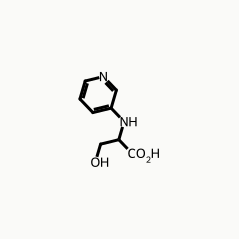 O=C(O)C(CO)Nc1cccnc1